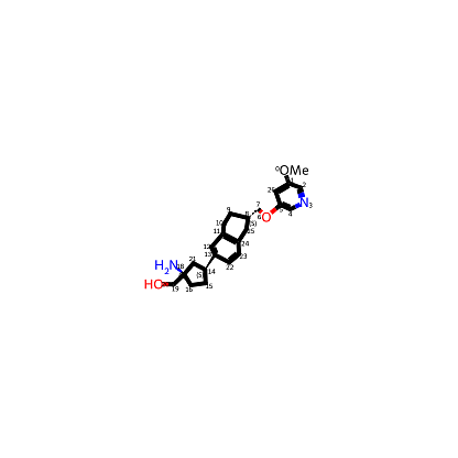 COc1cncc(OC[C@H]2CCc3cc([C@H]4CC[C@](N)(CO)C4)ccc3C2)c1